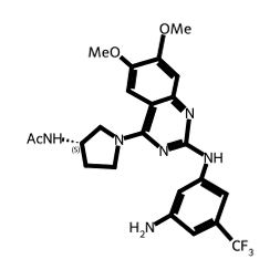 COc1cc2nc(Nc3cc(N)cc(C(F)(F)F)c3)nc(N3CC[C@H](NC(C)=O)C3)c2cc1OC